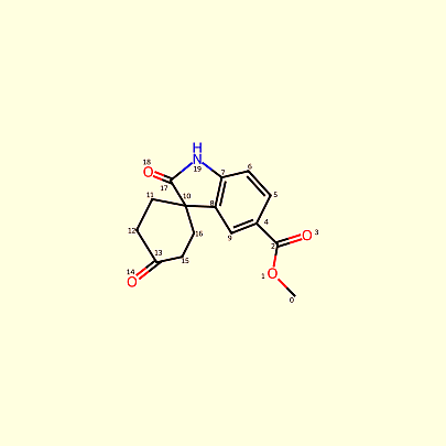 COC(=O)c1ccc2c(c1)C1(CCC(=O)CC1)C(=O)N2